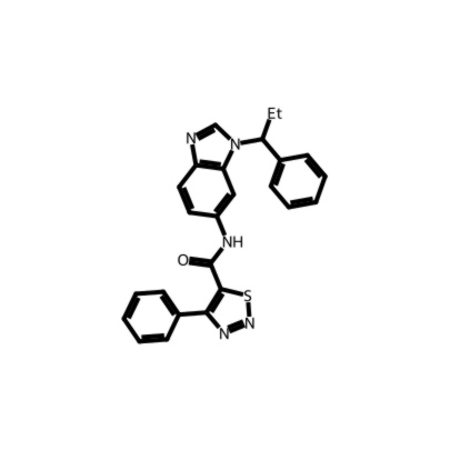 CCC(c1ccccc1)n1cnc2ccc(NC(=O)c3snnc3-c3ccccc3)cc21